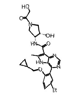 CCc1ccc(OCC2CC2)c(-c2ncnc3c(C(=O)N[C@@H]4CN(C(=O)CO)C[C@@H]4O)c(C)[nH]c23)c1